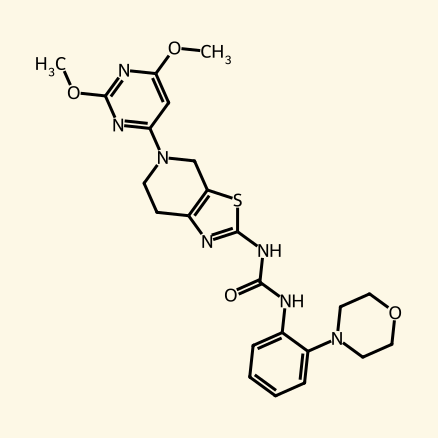 COc1cc(N2CCc3nc(NC(=O)Nc4ccccc4N4CCOCC4)sc3C2)nc(OC)n1